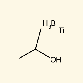 B.CC(C)O.[Ti]